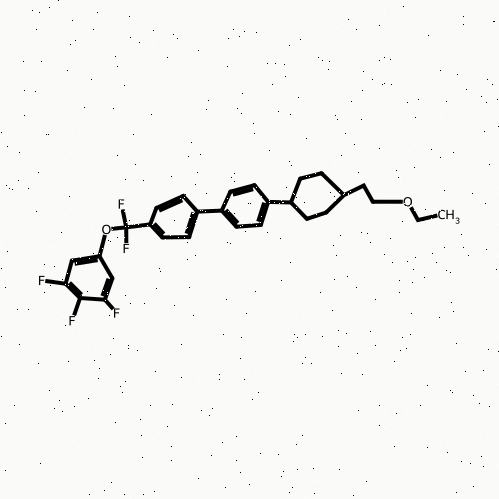 CCOCCC1CCC(c2ccc(-c3ccc(C(F)(F)Oc4cc(F)c(F)c(F)c4)cc3)cc2)CC1